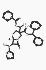 CC(=O)N(c1cccs1)C1C(=O)N2CC(C(=O)OC(c3ccccc3)c3ccccc3)(C(C)OC(=O)c3ccccc3)CS[C@H]12